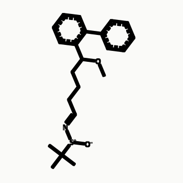 COC(CCCC=N[S+]([O-])C(C)(C)C)c1ccccc1-c1ccccc1